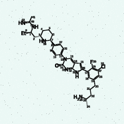 CC[C@H](C[C@@H]1CCC[C@@H](c2ccc(-n3cc4cc(-c5cc(CCC[C@H](C)N)cc(Cl)c5F)[nH]c4nc3=O)cc2)N1)NC(C)=N